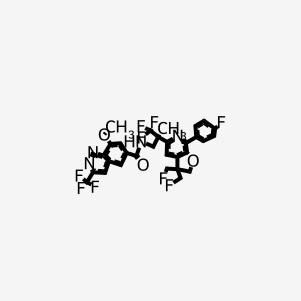 COc1cc(C(=O)NCC(C)(c2cc3c(c(-c4ccc(F)cc4)n2)OCC3(CF)CF)C(F)(F)F)cc2cc(C(F)(F)F)nnc12